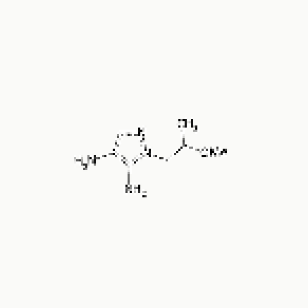 COC(C)Cn1ncc(N)c1N